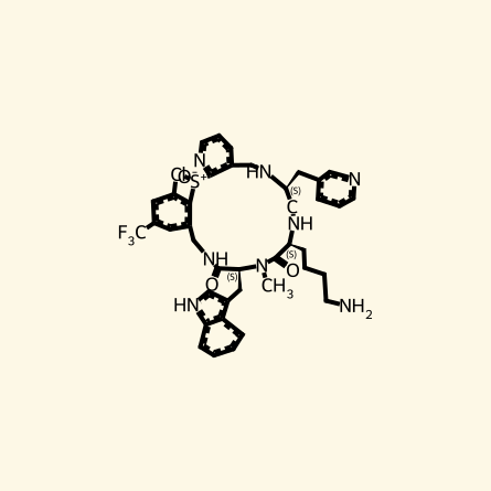 CN1C(=O)[C@H](CCCCN)NC[C@H](Cc2cccnc2)NCc2cccnc2[S+]([O-])c2c(Cl)cc(C(F)(F)F)cc2CNC(=O)[C@@H]1Cc1c[nH]c2ccccc12